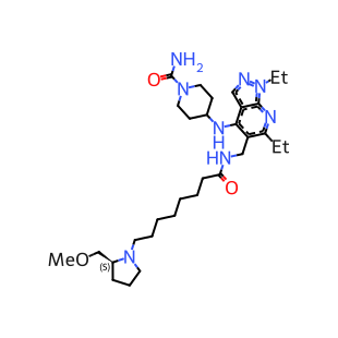 CCc1nc2c(cnn2CC)c(NC2CCN(C(N)=O)CC2)c1CNC(=O)CCCCCCCN1CCC[C@H]1COC